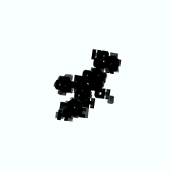 CC1CC2(CCN(C(=O)c3ncccc3O)CC2)c2c1n(CC(=O)Nc1ccc(C(F)(F)F)cc1Cl)c1nc(C3=CCOCC3)nn1c2=O